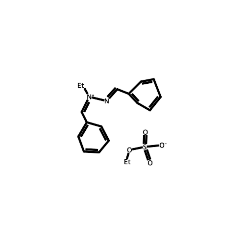 CCOS(=O)(=O)[O-].CC[N+](=Cc1ccccc1)N=Cc1ccccc1